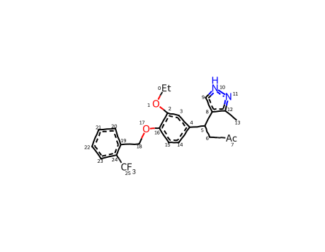 CCOc1cc(C(CC(C)=O)c2c[nH]nc2C)ccc1OCc1ccccc1C(F)(F)F